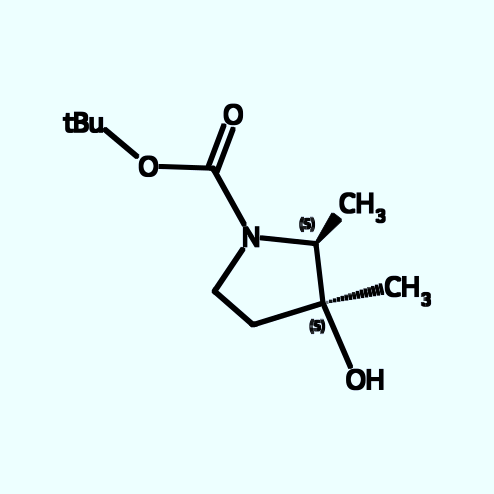 C[C@@H]1N(C(=O)OC(C)(C)C)CC[C@]1(C)O